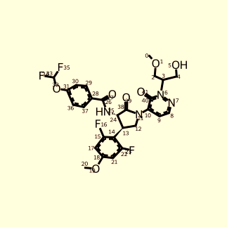 COCC(CO)n1nccc(N2C[C@@H](c3c(F)cc(OC)cc3F)[C@H](NC(=O)c3ccc(OC(F)F)cc3)C2=O)c1=O